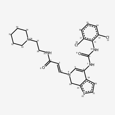 O=C(/C=C/N1C=C(NC(=O)Nc2c(Cl)cccc2Cl)c2ccsc2C1)NCCN1CCCCC1